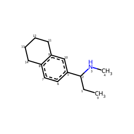 CCC(NC)c1ccc2c(c1)CCCC2